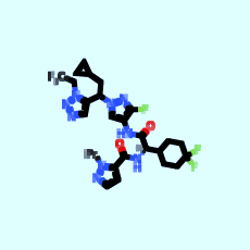 CC(C)n1nccc1C(=O)N[C@H](C(=O)Nc1cn(C(CC2CC2)c2cnnn2CC(F)(F)F)nc1F)C1CCC(F)(F)CC1